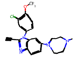 C#Cc1nc2ccc(N3CCN(C)CC3)cc2n1-c1ccc(OC(F)(F)F)c(Cl)c1